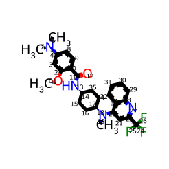 COc1cc(N(C)C)ccc1C(=O)N[C@H]1CC[C@@H](N(C)c2cc(C(F)(F)F)nc3ccccc23)CC1